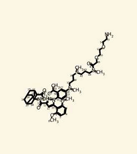 COc1cccc(OC)c1-c1cc(C(=O)NC23CC4CC(CC(C4)C2C(=O)O)C3)nn1-c1ccc(N(C)CCCN(C)CCCN(C)C(=O)COCCOCCN)cc1C(C)C